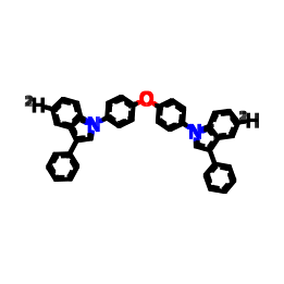 [2H]c1ccc2c(c1)c(-c1ccccc1)cn2-c1ccc(Oc2ccc(-n3cc(-c4ccccc4)c4cc([2H])ccc43)cc2)cc1